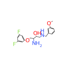 COc1cccc(CNC[C@@H](O)[C@@H](N)COc2cc(F)cc(F)c2)c1